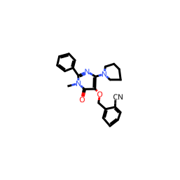 Cn1c(-c2ccccc2)nc(N2CCCCC2)c(OCc2ccccc2C#N)c1=O